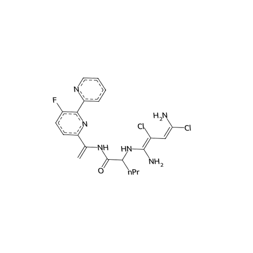 C=C(NC(=O)C(CCC)N/C(N)=C(Cl)/C=C(\N)Cl)c1ccc(F)c(-c2ccccn2)n1